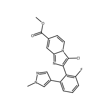 COC(=O)c1ccn2c(Cl)c(-c3c(F)cccc3-c3cnn(C)c3)nc2c1